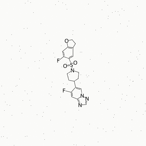 O=S(=O)(c1cc2c(cc1F)OCC2)N1CCC(c2cn3ncnc3cc2F)CC1